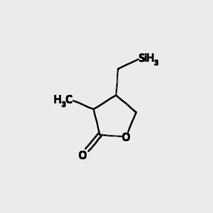 CC1C(=O)OCC1C[SiH3]